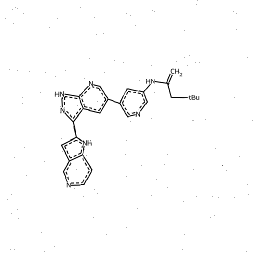 C=C(CC(C)(C)C)Nc1cncc(-c2cnc3[nH]nc(-c4cc5cnccc5[nH]4)c3c2)c1